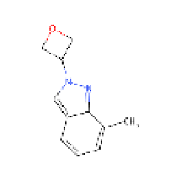 Cc1cccc2cn(C3COC3)nc12